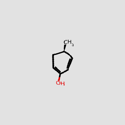 C[C@H]1C=CC(O)=CC1